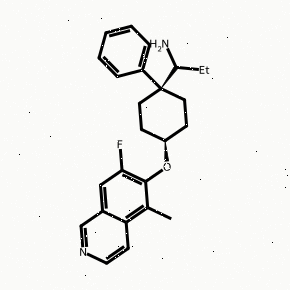 CCC(N)[C@]1(c2ccccc2)CC[C@H](Oc2c(F)cc3cnccc3c2C)CC1